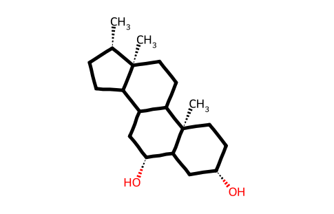 C[C@H]1CCC2C3C[C@@H](O)C4C[C@@H](O)CC[C@]4(C)C3CC[C@@]21C